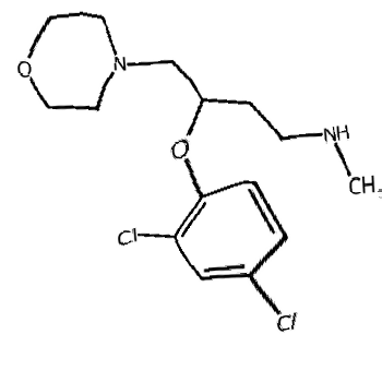 CNCCC(CN1CCOCC1)Oc1ccc(Cl)cc1Cl